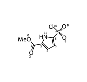 COC(=O)c1ccc(S(=O)(=O)Cl)[nH]1